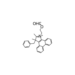 CC1=[N+](CCOC=O)c2c(c3ccccc3c3ccccc23)C1(C)Cc1ccccc1